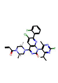 C=CC(=O)N1C[C@H](C)N(c2nc(=O)n(-c3c(C)nc(F)nc3C(C)C)c3nc(-c4ccccc4F)c(Cl)cc23)C[C@H]1C